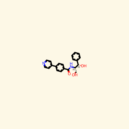 O=C(N[C@@H](CO)[C@@H](O)c1ccccc1)c1ccc(-c2ccncc2)cc1